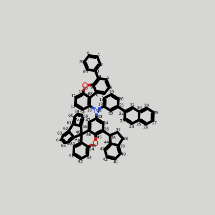 c1ccc(-c2cccc3c2oc2cccc(N(c4cccc(-c5ccc6ccccc6c5)c4)c4cc(C5CCc6ccccc65)c5c(c4)C4(c6ccccc6O5)c5ccccc5-c5ccccc54)c23)cc1